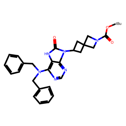 CC(C)(C)OC(=O)N1CC2(CC(n3c(=O)[nH]c4c(N(Cc5ccccc5)Cc5ccccc5)ncnc43)C2)C1